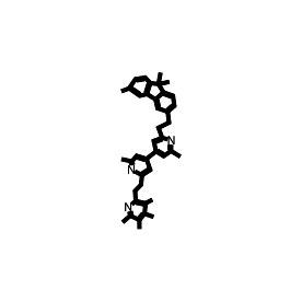 Cc1ccc2c(c1)-c1cc(CCc3cc(-c4cc(C)nc(CCc5nc(C)c(C)c(C)c5C)c4)cc(C)n3)ccc1C2(C)C